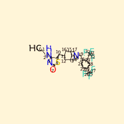 C#CCNC1=NC(=O)S/C1=C\C1CC2CC(C1)CN(Cc1ccc(C(F)(F)F)cc1C(F)(F)F)C2